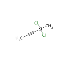 CC#C[Si](C)(Cl)Cl